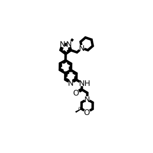 C[C@H]1CN(CC(=O)Nc2cc3cc(-c4cnn(C)c4CN4CCCCC4)ccc3cn2)CCO1